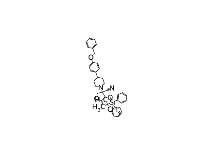 CC(C)(C)[Si](OC1COCC1(C#N)N1CCC(c2ccc(OCc3ccccc3)cc2)CC1)(c1ccccc1)c1ccccc1